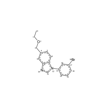 CCOCc1ccc2c(c1)ncn2-c1cccc(Br)c1